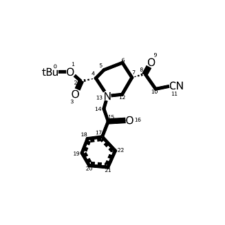 CC(C)(C)OC(=O)[C@@H]1CC[C@H](C(=O)CC#N)CN1CC(=O)c1ccccc1